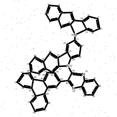 c1ccc2cc3c(cc2c1)c1ccccc1n3-c1ccc2c(c1)c1cc3ccccc3cc1n2-c1nc2ccccc2nc1-c1ccc2c3ccccc3c3ccccc3c2c1